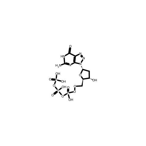 Nc1nc2c(nnn2[C@@H]2C[C@H](O)[C@@H](COOP(=O)(O)OP(=O)(O)OP(=O)(O)O)O2)c(=O)[nH]1